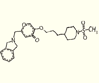 CS(=O)(=O)N1CCC(CCCOc2coc(CN3Cc4ccccc4C3)cc2=O)CC1